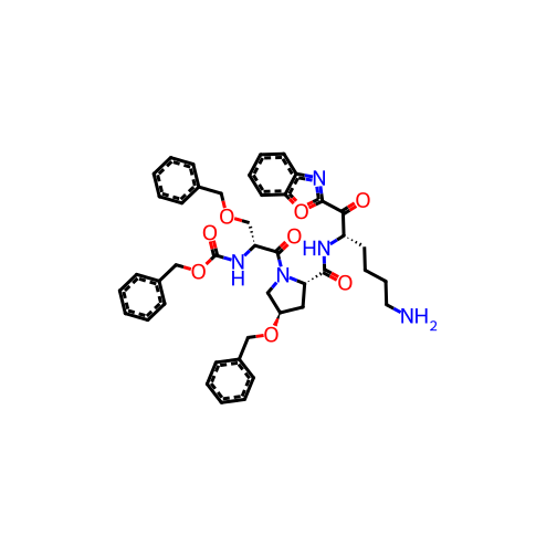 NCCCC[C@H](NC(=O)[C@@H]1C[C@@H](OCc2ccccc2)CN1C(=O)[C@@H](COCc1ccccc1)NC(=O)OCc1ccccc1)C(=O)c1nc2ccccc2o1